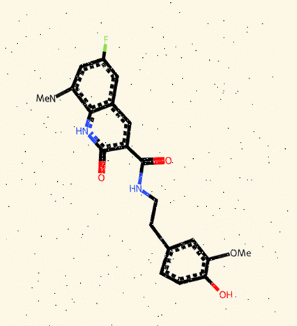 CNc1cc(F)cc2cc(C(=O)NCCc3ccc(O)c(OC)c3)c(=O)[nH]c12